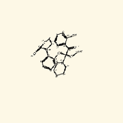 CCCOC(Oc1ccccc1N1CCCC1=O)(C(=O)c1ccccc1F)N1CCCCC1